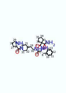 NC(=O)C1(C(=O)N[C@H](Cc2ccccc2)C(=O)NCCC2CCN(C(=O)[C@H]3CCCN3)CC2)CCCC1